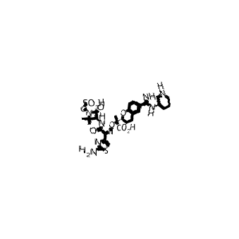 CC(O/N=C(\C(=O)N[C@@H]1C(=O)N(OS(=O)(=O)O)C1(C)C)c1csc(N)n1)(C(=O)O)[C@H]1CCc2cc(C(=N)N[C@@H]3CCCNC3)ccc2O1